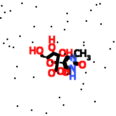 Cn1cc([C@]2(C(=O)O)O[C@H](CO)[C@@H](O)[C@H]2O)c(=O)[nH]c1=O